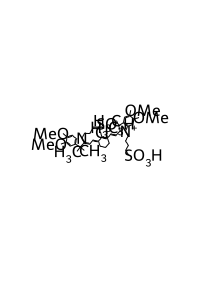 COc1cc2c(cc1OC)C(C)(C)/C(=C/C=C1\CCCC(/C=C/C3=[N+](CCCCS(=O)(=O)O)c4cc(OC)c(OC)cc4C3(C)C)=C1Cl)N2CCCCS(=O)(=O)O